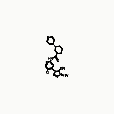 CCCc1c(-c2cc(NC(=O)[C@@H]3CCC[C@@H](c4ccncc4)C3)ncc2Cl)cnn1CCC